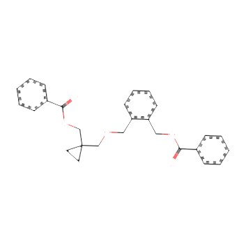 O=C(OCc1ccccc1COCC1(COC(=O)c2ccccc2)CC1)c1ccccc1